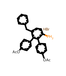 Br.CC(=O)Oc1ccc(-c2c(P)ccc(Cc3ccccc3)c2-c2ccc(OC(C)=O)cc2)cc1